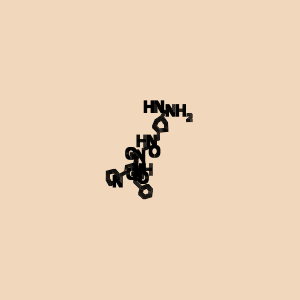 N=C(N)c1ccc(CNC(=O)CNC(=O)C(CCc2ccccn2)NS(=O)(=O)Cc2ccccc2)cc1